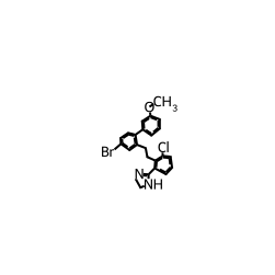 COc1cccc(-c2ccc(Br)cc2CCc2c(Cl)cccc2C2=NCCN2)c1